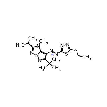 CCSc1nnc(/N=N/c2c(C(C)(C)C)nn3nc(C(C)C)n(C)c23)s1